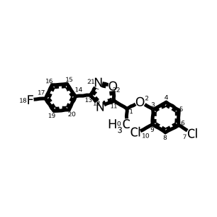 CC(Oc1ccc(Cl)cc1Cl)c1nc(-c2ccc(F)cc2)no1